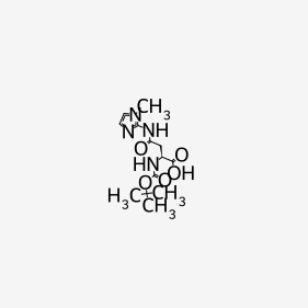 Cn1ccnc1NC(=O)C[C@H](NC(=O)OC(C)(C)C)C(=O)O